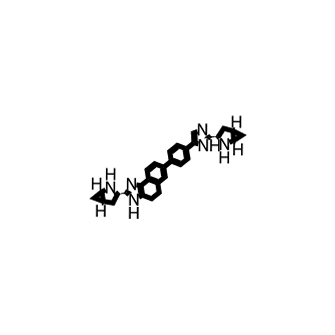 c1cc(-c2cnc([C@@H]3C[C@H]4C[C@H]4N3)[nH]2)ccc1-c1ccc2c(c1)CCc1[nH]c([C@@H]3C[C@H]4C[C@H]4N3)nc1-2